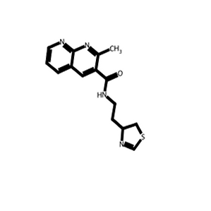 Cc1nc2ncccc2cc1C(=O)NCCC1CSC=N1